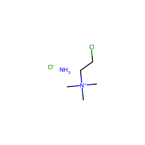 C[N+](C)(C)CCCl.N.[Cl-]